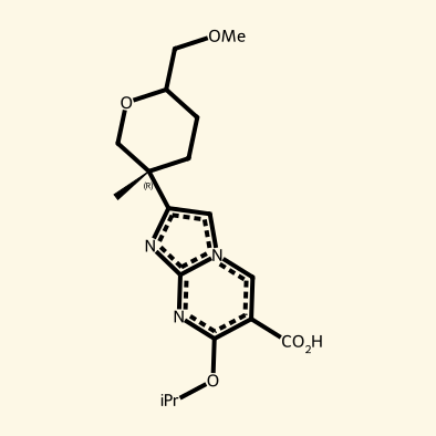 COCC1CC[C@](C)(c2cn3cc(C(=O)O)c(OC(C)C)nc3n2)CO1